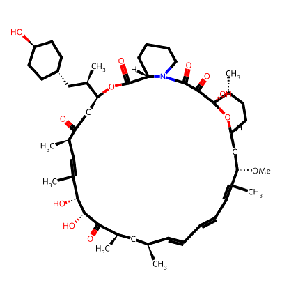 CO[C@H]1C[C@@H]2CC[C@@H](C)[C@@](O)(O2)C(=O)C(=O)N2CCCC[C@H]2C(=O)O[C@H]([C@H](C)C[C@H]2CC[C@H](O)CC2)CC(=O)[C@H](C)/C=C(\C)[C@@H](O)[C@@H](O)C(=O)[C@H](C)C[C@H](C)/C=C/C=C/C=C/1C